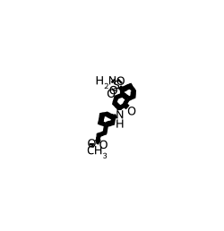 COC(=O)CCc1cccc(NC2=CC(=O)c3c(cccc3S(N)(=O)=O)C2=O)c1